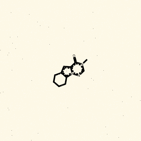 Cn1cnn2c3c(cc2c1=O)CCCC3